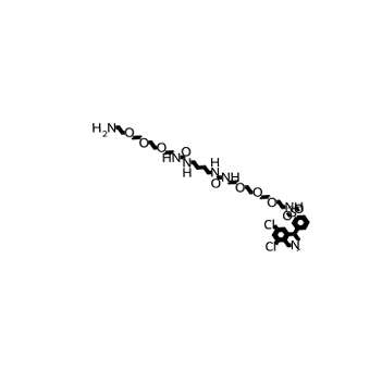 CN1Cc2c(Cl)cc(Cl)cc2C(c2cccc(S(=O)(=O)NCCOCCOCCOCCNC(=O)NCCCCNC(=O)NCCOCCOCCOCCN)c2)C1